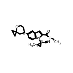 CCOC(=O)c1cc2cc([C@@H]3CCOC4(CC4)C3)ccc2n1[C@]1(C#N)C[C@@H]1C